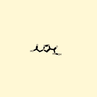 O=C(O)Cn1cc(C(=O)NO)nn1